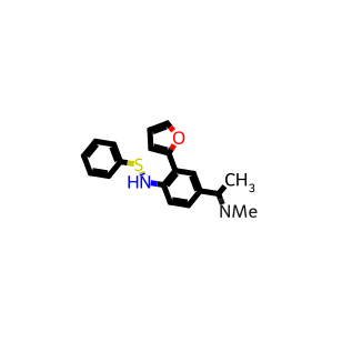 CNC(C)c1ccc(NSc2ccccc2)c(-c2ccco2)c1